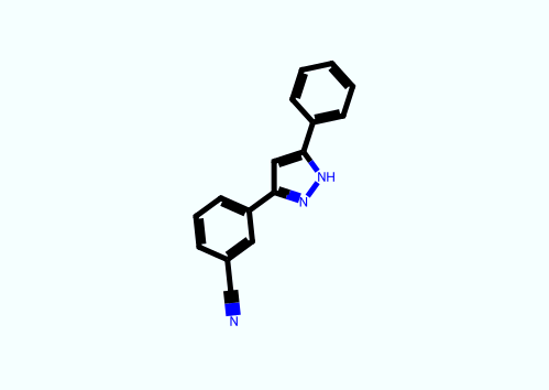 N#Cc1cccc(-c2cc(-c3ccccc3)[nH]n2)c1